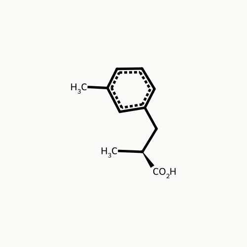 Cc1cccc(C[C@H](C)C(=O)O)c1